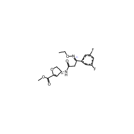 CCO/N=C(\CC(=O)N[C@@H]1C=C(C(=O)OC)OC1)c1cc(F)cc(F)c1